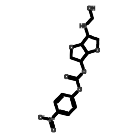 O=C(Oc1ccc([N+](=O)[O-])cc1)OC1COC2C(PCO)COC12